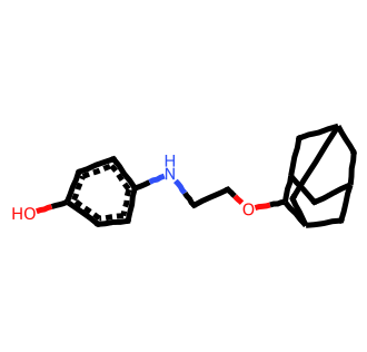 Oc1ccc(NCCOC2C3CC4CC(C3)CC2C4)cc1